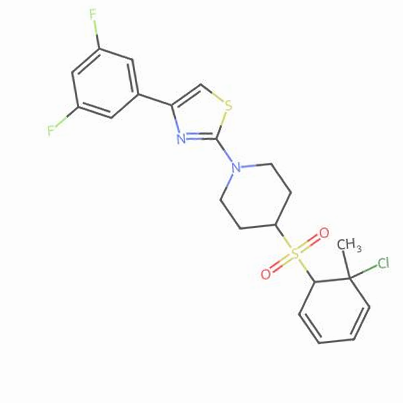 CC1(Cl)C=CC=CC1S(=O)(=O)C1CCN(c2nc(-c3cc(F)cc(F)c3)cs2)CC1